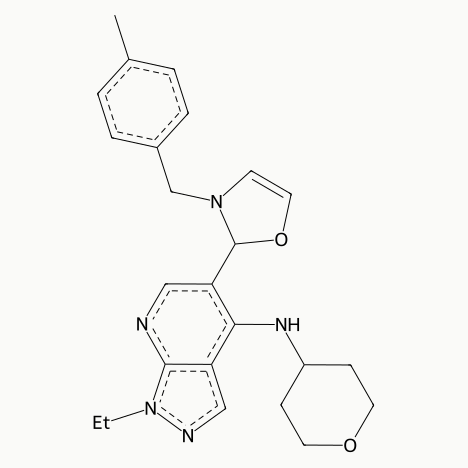 CCn1ncc2c(NC3CCOCC3)c(C3OC=CN3Cc3ccc(C)cc3)cnc21